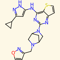 c1cc(CN2CC3CC2CN3c2nc(Nc3cc(C4CC4)n[nH]3)c3sccc3n2)no1